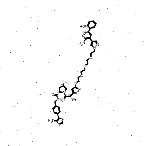 Cc1ncsc1-c1ccc(CNC(=O)[C@@H]2C[C@@H](O)CN2C(=O)[C@H](c2cc(OCCOCCOCCOCCn3cc(-c4cc(-c5ccccc5O)nnc4N)cn3)no2)C(C)C)cc1